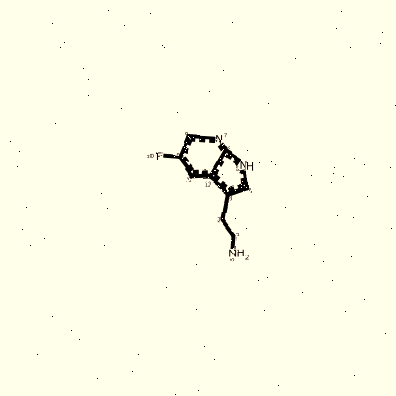 NCCc1c[nH]c2ncc(F)cc12